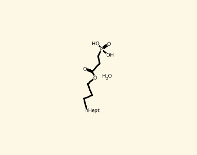 CCCCCCCCCCOC(=O)CCP(=O)(O)O.O